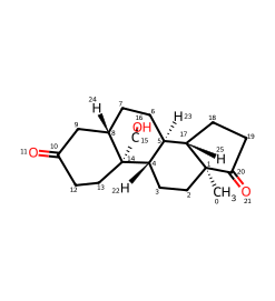 C[C@]12CC[C@H]3[C@@H](CC[C@H]4CC(=O)CC[C@@]43CO)[C@@H]1CCC2=O